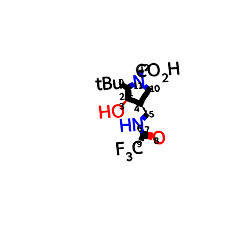 CC(C)(C)C1[C@@H](O)[C@@H](CNC(=O)C(F)(F)F)CN1C(=O)O